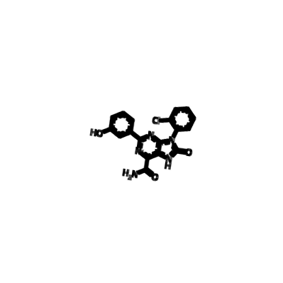 NC(=O)c1nc(-c2cccc(O)c2)nc2c1[nH]c(=O)n2-c1ccccc1Cl